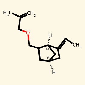 C=C(C)COCC1C[C@@H]2CC(=CC)[C@H]1C2